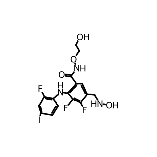 O=C(NOCCO)c1cc(CNO)c(F)c(F)c1Nc1ccc(I)cc1F